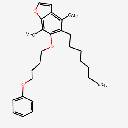 CCCCCCCCCCCCCCCCc1c(OCCCCOc2ccccc2)c(OC)c2occc2c1OC